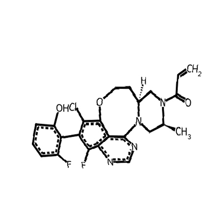 C=CC(=O)N1C[C@@H]2CCOc3c(Cl)c(-c4c(O)cccc4F)c(F)c4ncnc(c34)N2C[C@@H]1C